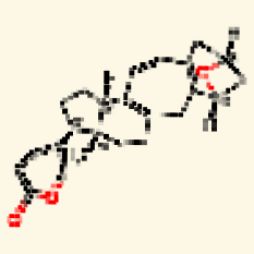 C[C@]12CCC3=C(C=CC4=C(C3)[C@H]3C[C@@H](C4)O3)[C@H]1CC[C@@H]2c1ccc(=O)oc1